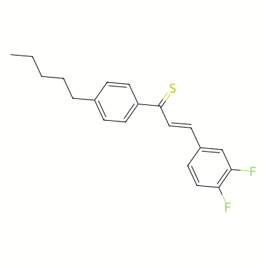 CCCCCc1ccc(C(=S)C=Cc2ccc(F)c(F)c2)cc1